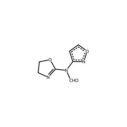 O=CN(C1=NCCO1)c1ccon1